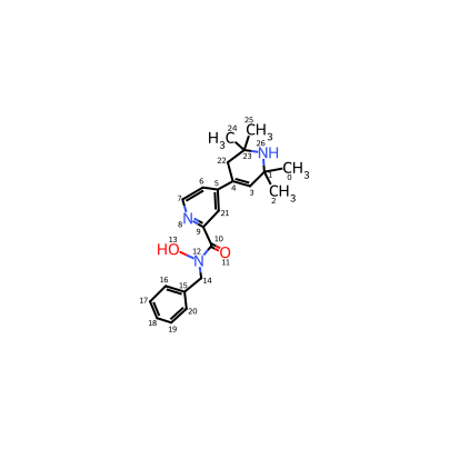 CC1(C)C=C(c2ccnc(C(=O)N(O)Cc3ccccc3)c2)CC(C)(C)N1